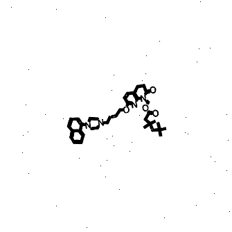 CC(C)(C)CC(C)(C)CC(=O)OCN1C(=O)CCc2ccc(OCCCCN3CCN(c4cccc5ccccc45)CC3)nc21